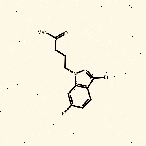 CCc1nn(CCCC(=O)NC)c2cc(F)ccc12